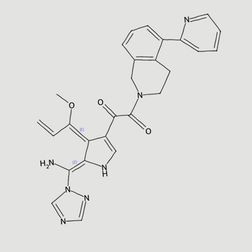 C=C/C(OC)=c1/c(C(=O)C(=O)N2CCc3c(cccc3-c3ccccn3)C2)c[nH]/c1=C(/N)n1cncn1